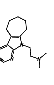 CN(C)CCn1c2c(c3cncnc31)CCCCC2